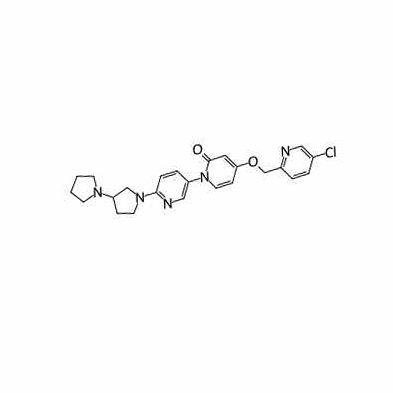 O=c1cc(OCc2ccc(Cl)cn2)ccn1-c1ccc(N2CCC(N3CCCC3)C2)nc1